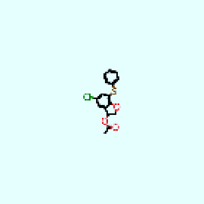 CC(=O)OC1COc2c(Sc3ccccc3)cc(Cl)cc21